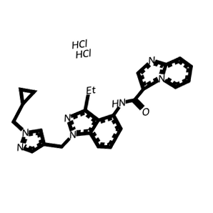 CCc1nn(Cc2cnn(CC3CC3)c2)c2cccc(NC(=O)c3cnc4ccccn34)c12.Cl.Cl